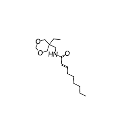 CCCCCC/C=C/C(=O)NCC1(CC)COCOC1